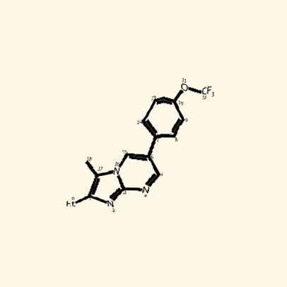 CCc1nc2ncc(-c3ccc(OC(F)(F)F)cc3)cn2c1C